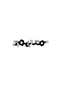 N[C@H](CNc1ncc(-c2ccc3[nH]c(=O)oc3c2)s1)Cc1ccc(Cl)cc1